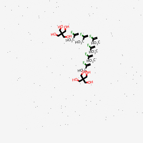 C=C(F)C(=O)O.C=C(F)C(=O)O.C=C(F)C(=O)O.C=C(F)C(=O)O.C=C(F)C(=O)O.C=C(F)C(=O)O.OCC(CO)(CO)CO.OCC(CO)(CO)CO